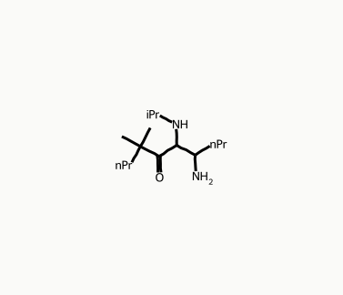 CCCC(N)C(NC(C)C)C(=O)C(C)(C)CCC